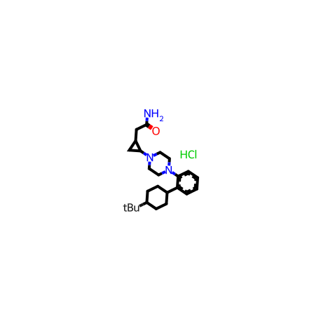 CC(C)(C)C1CCC(c2ccccc2N2CCN(C3CC3CC(N)=O)CC2)CC1.Cl